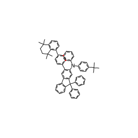 CC(C)(C)c1ccc(N(c2ccccc2)c2cc3c(cc2-c2ccc(-c4cccc5c4C(C)(C)CCC5(C)C)cc2)-c2ccccc2C3(c2ccccc2)c2ccccc2)cc1